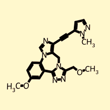 COCc1nnc2n1Cc1c(C#Cc3ccnn3C)ncn1-c1ccc(OC)cc1-2